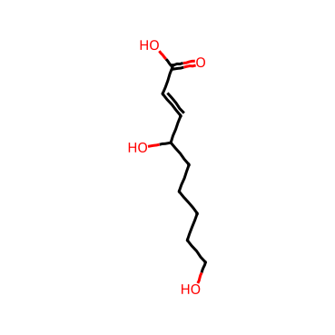 O=C(O)C=CC(O)CCCCCO